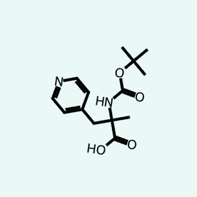 CC(C)(C)OC(=O)NC(C)(Cc1ccncc1)C(=O)O